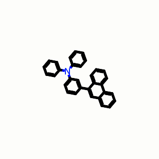 c1ccc(N(c2ccccc2)c2cccc(-c3cc4ccccc4c4ccccc34)c2)cc1